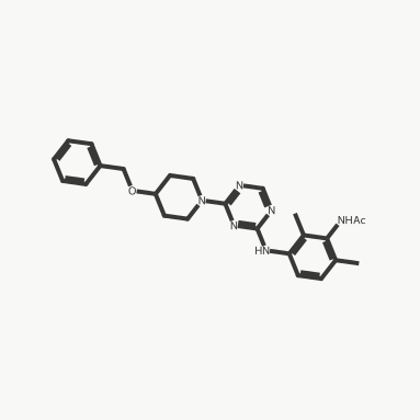 CC(=O)Nc1c(C)ccc(Nc2ncnc(N3CCC(OCc4ccccc4)CC3)n2)c1C